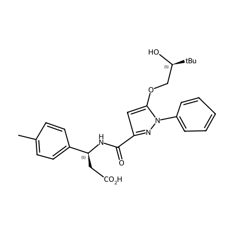 Cc1ccc([C@H](CC(=O)O)NC(=O)c2cc(OC[C@@H](O)C(C)(C)C)n(-c3ccccc3)n2)cc1